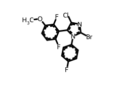 COc1ccc(F)c(-c2c(Cl)nc(Br)n2-c2ccc(F)cc2)c1F